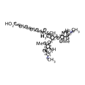 C/C=C1\CC2CNc3cc(OCc4cc(COc5cc6c(cc5OC)C(=O)N5C/C(=C/C)C[C@H]5C=N6)cc(C(C)(C)SCC(=O)NCCOCCOCCOCCOCCC(=O)O)c4)c(OC)cc3C(=O)N2C1